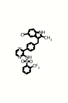 Cc1[nH]c2ccc(Cl)cc2c1Cc1ccc(-c2nccnc2NS(=O)(=O)c2ccccc2C(F)(F)F)cc1